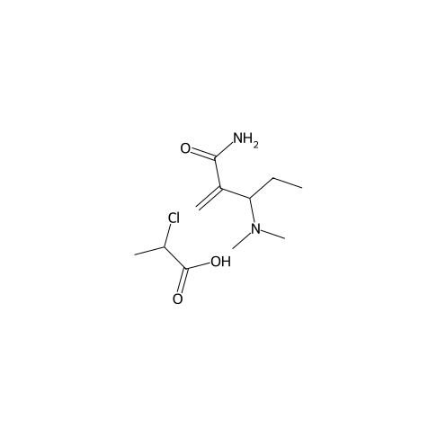 C=C(C(N)=O)C(CC)N(C)C.CC(Cl)C(=O)O